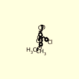 CC(C)COc1ccc(CN2C(=O)OC3(CCN(CCC4OCCO4)CC3)C2Cc2ccc(Cl)cc2)cc1